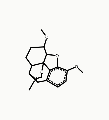 COc1ccc2c3c1OC1C(OC)CCC4C(C2)N(C)CCC341